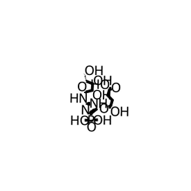 O=C(O)CCC(=O)O.O=P(O)(O)c1c[nH]c(NC2O[C@H](CO)[C@@H](O)[C@H]2O)n1